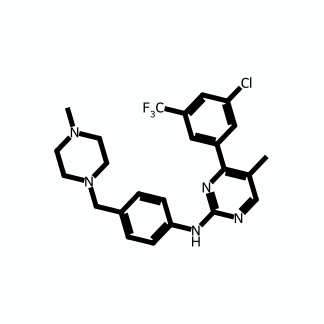 Cc1cnc(Nc2ccc(CN3CCN(C)CC3)cc2)nc1-c1cc(Cl)cc(C(F)(F)F)c1